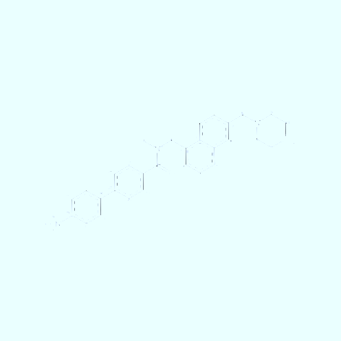 CN(Cc1cccc2cc(CN3CCOCC3)ccc12)C(=O)c1ccc(-c2ccc([N+](=O)[O-])cc2)cc1